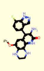 CC(C)Oc1cc2c(-c3ccc(F)c4[nH]ncc34)c(N)c(=O)[nH]c2c2c1NCCN2